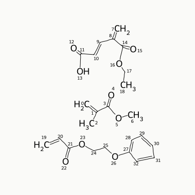 C=C(C)C(=O)OC.C=C(C=CC(=O)O)C(=O)OCC.C=CC(=O)OCCOc1ccccc1